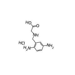 Cl.Nc1ccc(N)c(CNCC(=O)O)c1